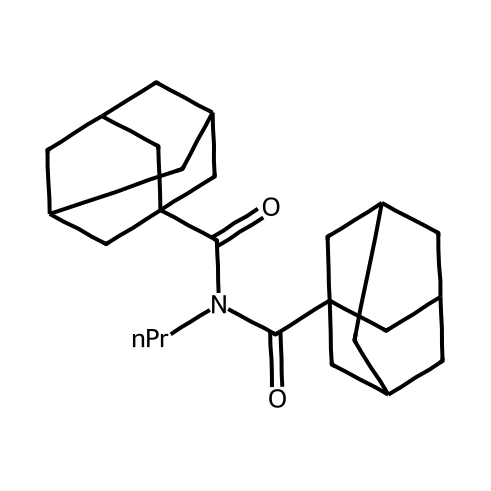 CCCN(C(=O)C12CC3CC(CC(C3)C1)C2)C(=O)C12CC3CC(CC(C3)C1)C2